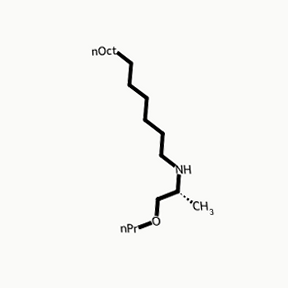 CCCCCCCCCCCCCCN[C@H](C)COCCC